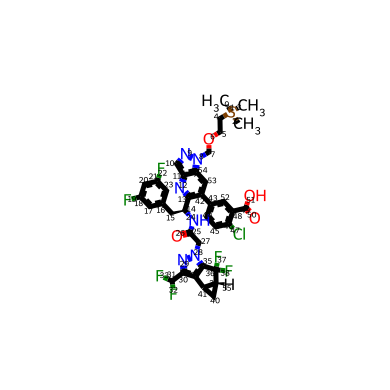 CS(C)(C)CCOCn1ncc2nc([C@H](Cc3cc(F)cc(F)c3)NC(=O)Cn3nc(C(F)F)c4c3C(F)(F)[C@@H]3CC43)c(-c3ccc(Cl)c(C(=O)O)c3)cc21